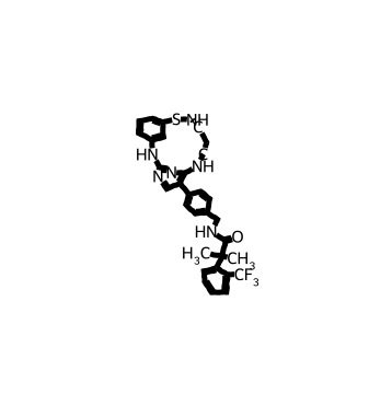 CC(C)(C(=O)NCc1ccc(-c2cnc3nc2NCCCNSc2cccc(c2)N3)cc1)c1ccccc1C(F)(F)F